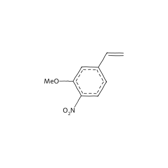 C=Cc1ccc([N+](=O)[O-])c(OC)c1